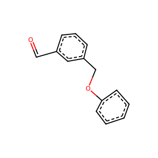 O=Cc1cccc(COc2ccccc2)c1